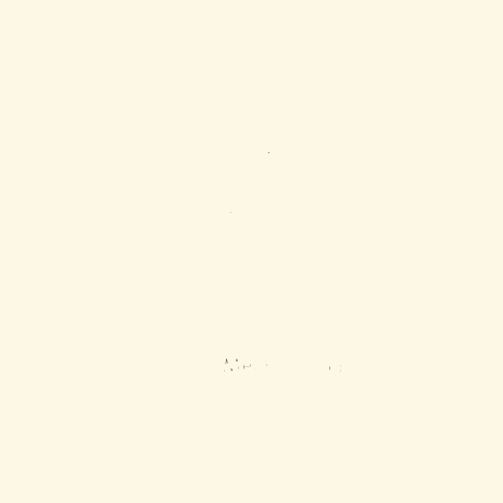 C=Cc1ccc(C(=O)OC)cc1C12CC3CC(CC(C3)C1)C2